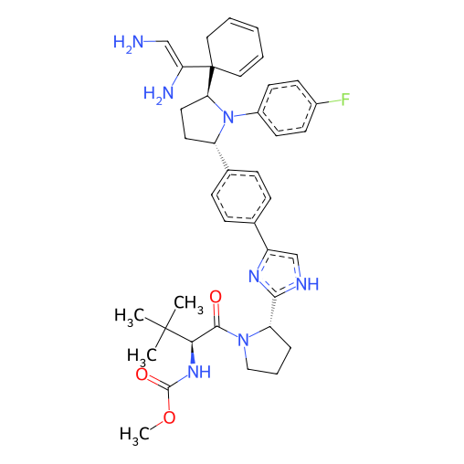 COC(=O)N[C@H](C(=O)N1CCC[C@H]1c1nc(-c2ccc([C@@H]3CC[C@@H](C4(/C(N)=C/N)C=CC=CC4)N3c3ccc(F)cc3)cc2)c[nH]1)C(C)(C)C